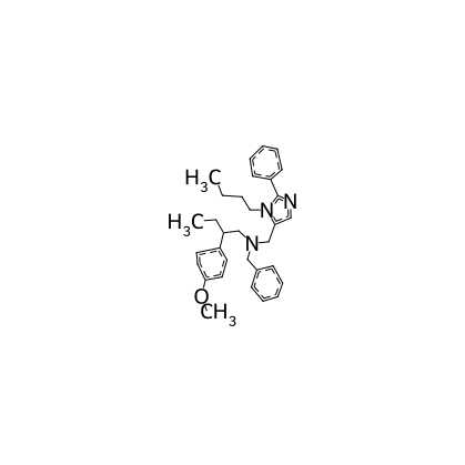 CCCCn1c(CN(Cc2ccccc2)CC(CC)c2ccc(OC)cc2)cnc1-c1ccccc1